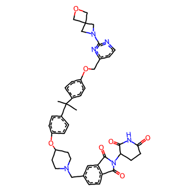 CC(C)(c1ccc(OCc2ccnc(N3CC4(COC4)C3)n2)cc1)c1ccc(OC2CCN(Cc3ccc4c(c3)C(=O)N(C3CCC(=O)NC3=O)C4=O)CC2)cc1